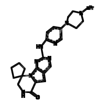 CCCN1CCN(c2ccc(Nc3ncc4cc5n(c4n3)C3(CCCC3)CNC5=O)nc2)CC1